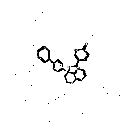 O=C(NC1(c2ccc(-c3ccccc3)cc2)CCOc2cccnc21)c1ccc(=O)[nH]c1